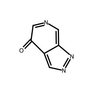 O=C1C=NC=C2N=NC=C12